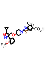 Cc1cc(C(=O)O)cc2sc(N3CCC(OCc4c(-c5ccccc5OC(F)(F)F)noc4C4CC4)CC3)nc12